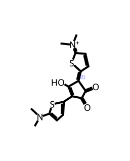 CN(C)c1ccc(C2=C(O)/C(=C3/C=CC(=[N+](C)C)S3)C(=O)C2=O)s1